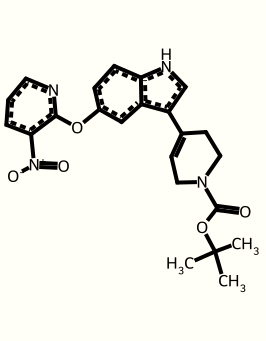 CC(C)(C)OC(=O)N1CC=C(c2c[nH]c3ccc(Oc4ncccc4[N+](=O)[O-])cc23)CC1